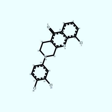 O=c1c2c(oc3c(Cl)cccc13)CN(c1ccc(Cl)c(Cl)c1)CC2